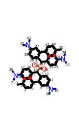 Cc1ccc(-c2cc(N(C)C)ccc2C(c2ccc(N(C)C)cc2)S(=O)(=O)C(c2ccc(N(C)C)cc2)c2ccc(N(C)C)cc2-c2ccc(C)cc2)cc1